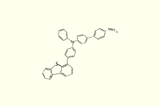 Nc1ccc(-c2ccc(N(c3ccccc3)c3ccc(-c4cccc5c4sc4ccccc45)cc3)cc2)cc1